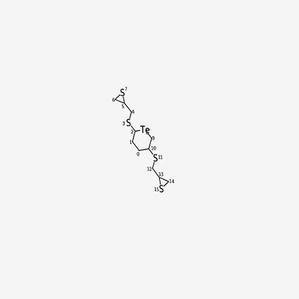 C1CC(SCC2CS2)[Te]CC1SCC1CS1